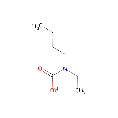 CCCCN(CC)C(=O)O